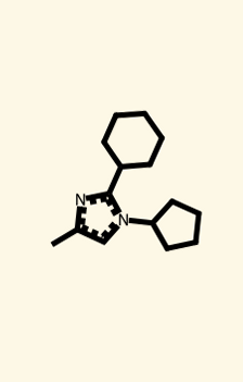 Cc1cn(C2CCCC2)c(C2CCCCC2)n1